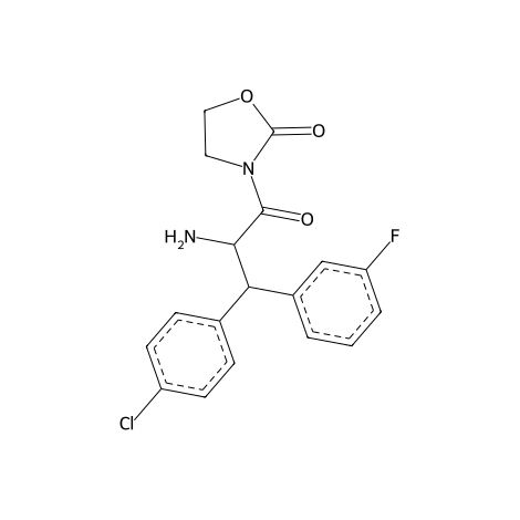 NC(C(=O)N1CCOC1=O)C(c1ccc(Cl)cc1)c1cccc(F)c1